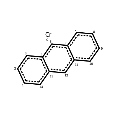 [Cr].c1ccc2cc3ccccc3cc2c1